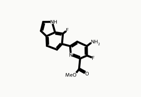 COC(=O)c1nc(-c2ccc3cc[nH]c3c2F)cc(N)c1F